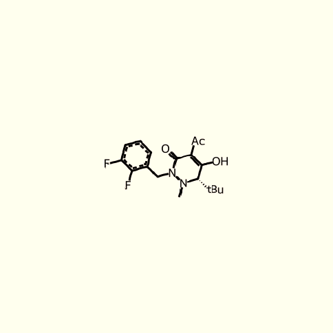 CC(=O)C1=C(O)[C@H](C(C)(C)C)N(C)N(Cc2cccc(F)c2F)C1=O